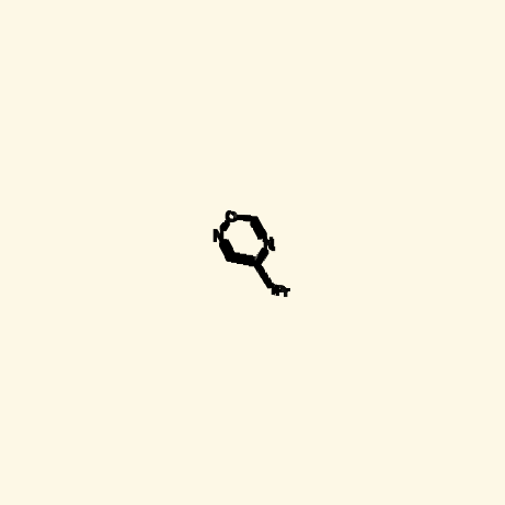 CC(C)C1=C=NOC=N1